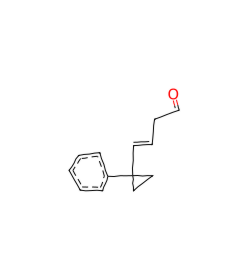 O=CCC=CC1(c2ccccc2)CC1